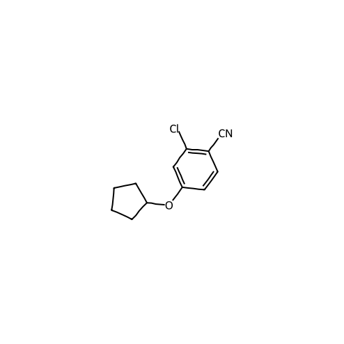 N#Cc1ccc(OC2CCCC2)cc1Cl